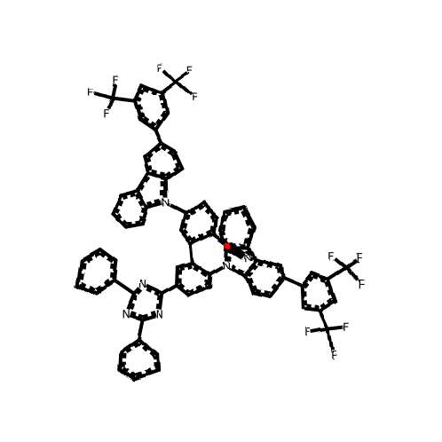 N#Cc1ccc(-n2c3ccccc3c3cc(-c4cc(C(F)(F)F)cc(C(F)(F)F)c4)ccc32)cc1-c1cc(-c2nc(-c3ccccc3)nc(-c3ccccc3)n2)ccc1-n1c2ccccc2c2cc(-c3cc(C(F)(F)F)cc(C(F)(F)F)c3)ccc21